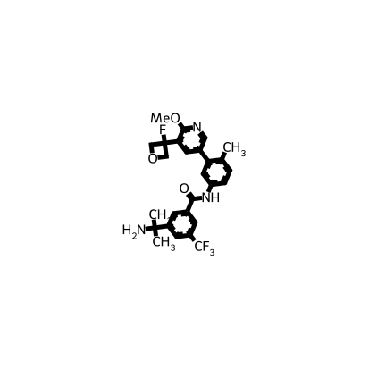 COc1ncc(-c2cc(NC(=O)c3cc(C(C)(C)N)cc(C(F)(F)F)c3)ccc2C)cc1C1(F)COC1